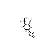 O=C(O)Nc1ccc(C2CSC2)cc1